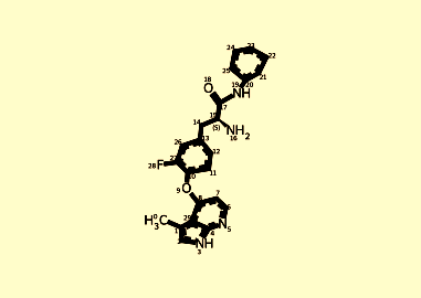 Cc1c[nH]c2nccc(Oc3ccc(C[C@H](N)C(=O)Nc4ccccc4)cc3F)c12